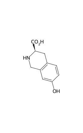 O=C(O)[C@H]1Cc2ccc(O)cc2CN1